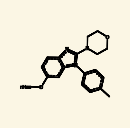 CCCCCCOc1ccc2nc(N3CCOCC3)n(-c3ccc(C)cc3)c2c1